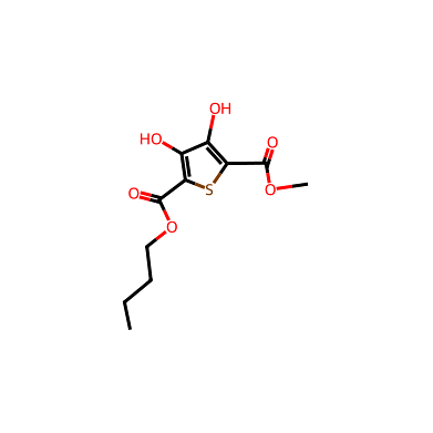 CCCCOC(=O)c1sc(C(=O)OC)c(O)c1O